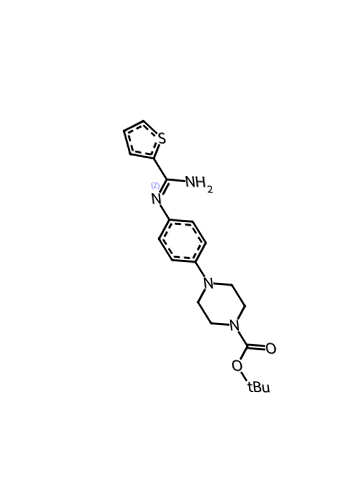 CC(C)(C)OC(=O)N1CCN(c2ccc(/N=C(\N)c3cccs3)cc2)CC1